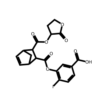 O=C(O)c1ccc(I)c(OC(=O)C2C3C=CC(C3)C2C(=O)OC2CCOC2=O)c1